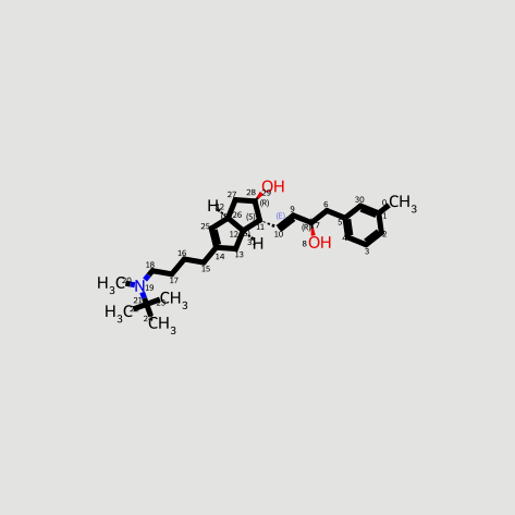 Cc1cccc(C[C@@H](O)/C=C/[C@@H]2[C@H]3CC(CCCCN(C)C(C)(C)C)=C[C@H]3C[C@H]2O)c1